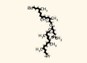 CCC(C)CCCC(C)CCCC(C)CCCC(C)CCOCC(CCCN(C)C)OCCC(C)CCCC(C)CCCC(C)CCCC(C)C